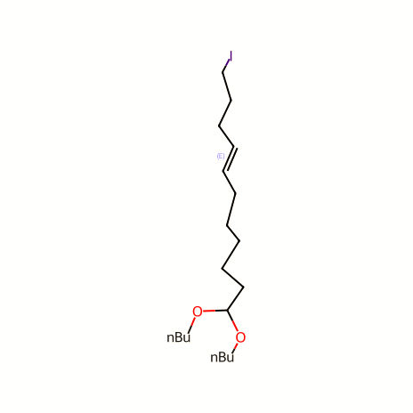 CCCCOC(CCCCC/C=C/CCCI)OCCCC